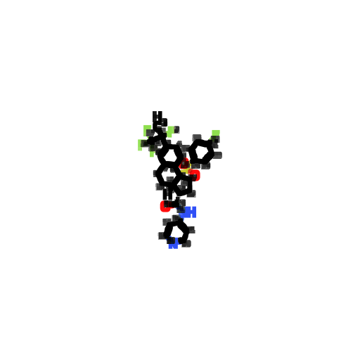 CC(F)(c1ccc2c(c1)CC[C@H]1[C@@H](C(=O)Nc3ccncc3)CC[C@@]21S(=O)(=O)c1ccc(F)cc1)C(F)(F)F